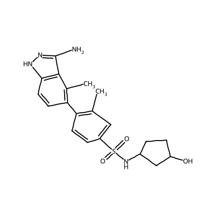 Cc1cc(S(=O)(=O)NC2CCC(O)C2)ccc1-c1ccc2[nH]nc(N)c2c1C